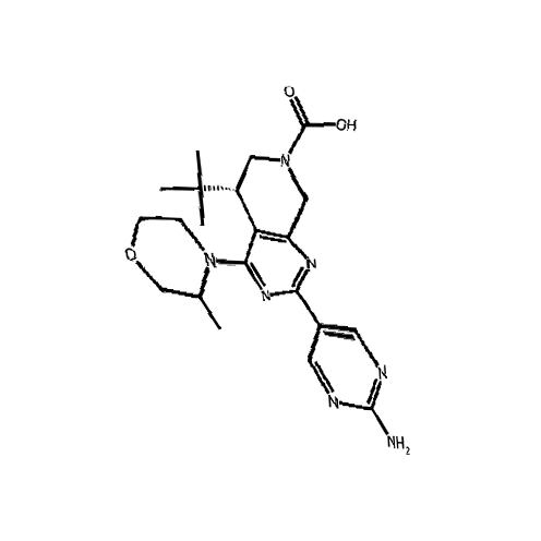 CC1COCCN1c1nc(-c2cnc(N)nc2)nc2c1[C@H](C(C)(C)C)CN(C(=O)O)C2